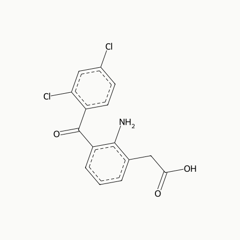 Nc1c(CC(=O)O)cccc1C(=O)c1ccc(Cl)cc1Cl